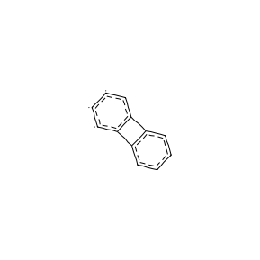 [c]1[c]cc2c([c]1)-c1ccccc1-2